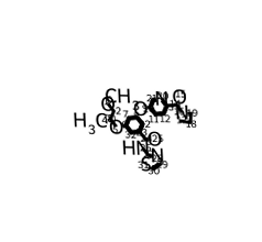 COC[C@H](C)Oc1cc(Oc2ccc(C(=O)N3CCC3)nc2)cc(C(=O)Nc2nccs2)c1